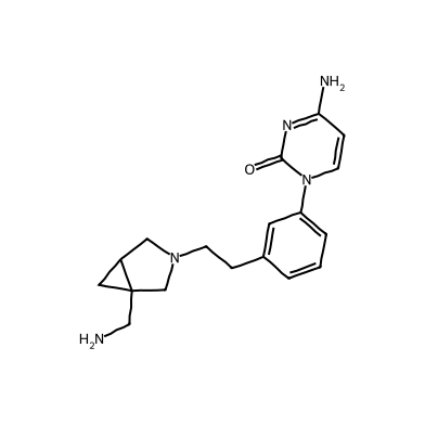 NCC12CC1CN(CCc1cccc(-n3ccc(N)nc3=O)c1)C2